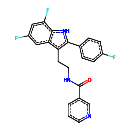 O=C(NCCc1c(-c2ccc(F)cc2)[nH]c2c(F)cc(F)cc12)c1cccnc1